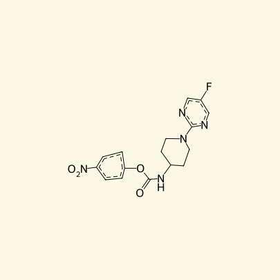 O=C(NC1CCN(c2ncc(F)cn2)CC1)Oc1ccc([N+](=O)[O-])cc1